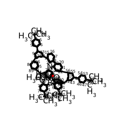 CC(C)(C)c1ccc(-c2cc3cc(c2)-c2cccc4c5cccc6c5n(c24)-c2c(c4c5c(c2C(C)(C)c2ccc(cc2)-c2cc(-c7ccc(C(C)(C)C)cc7)cc-6c2)Oc2ccc(C(C)(C)C)cc2B5c2cc(C(C)(C)C)ccc2O4)C(C)(C)c2ccc-3cc2)cc1